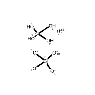 O[Si](O)(O)O.[Hf+4].[O-][Si]([O-])([O-])[O-]